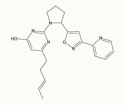 CC=CCCc1cc(O)nc(N2CCCC2c2cc(-c3ccccn3)no2)n1